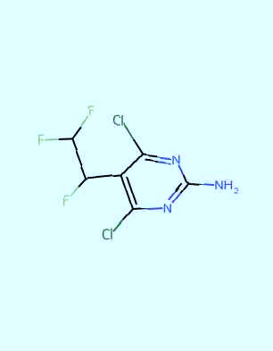 Nc1nc(Cl)c(C(F)C(F)F)c(Cl)n1